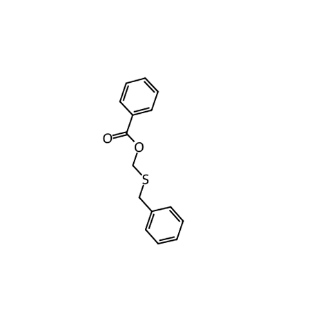 O=C(OCSCc1ccccc1)c1ccccc1